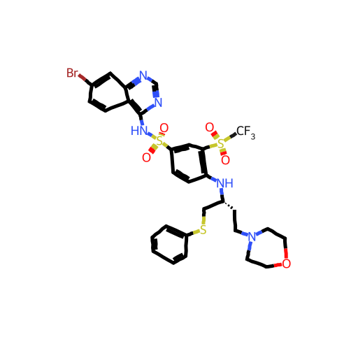 O=S(=O)(Nc1ncnc2cc(Br)ccc12)c1ccc(N[C@H](CCN2CCOCC2)CSc2ccccc2)c(S(=O)(=O)C(F)(F)F)c1